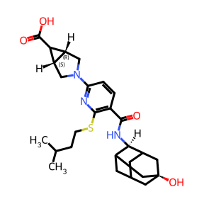 CC(C)CCSc1nc(N2C[C@@H]3C(C(=O)O)[C@@H]3C2)ccc1C(=O)N[C@H]1C2CC3CC1C[C@@](O)(C3)C2